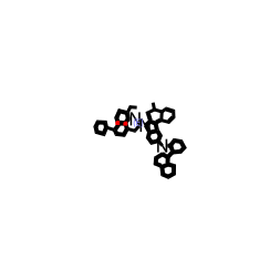 CCc1ccccc1/N=C(\Cc1ccc(-c2ccccc2)cc1)n1c2c(c3cc(-n4c5ccccc5c5c6ccccc6ccc54)ccc31)=C1C=CC=CC1C(C)C=2